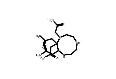 NC(=O)CC1NCCNCCN(CC(N)=O)C1(CC(N)=O)CC(N)=O